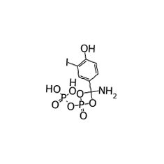 NC1(c2ccc(O)c(I)c2)OP(=O)(OP(=O)(O)O)O1